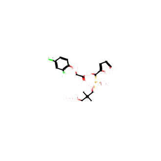 CC(C)(CO)CO[PH](=O)C(OC(=O)COc1ccc(Cl)cc1Cl)c1ccco1